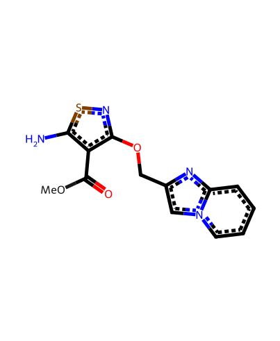 COC(=O)c1c(OCc2cn3ccccc3n2)nsc1N